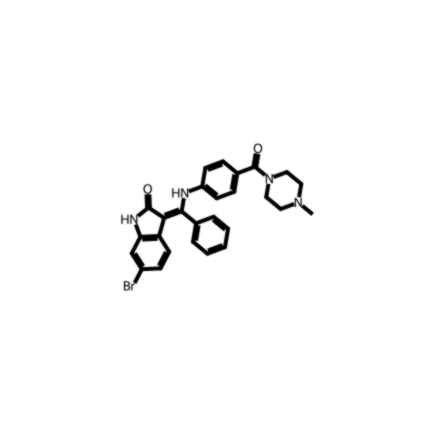 CN1CCN(C(=O)c2ccc(N/C(=C3\C(=O)Nc4cc(Br)ccc43)c3ccccc3)cc2)CC1